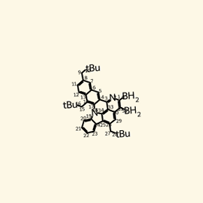 Bc1nc2c3cc4cc(CC(C)(C)C)ccc4c(CC(C)(C)C)c3n3c4ccccc4c4c(CC(C)(C)C)cc(c1B)c2c43